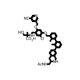 CC(=O)NCC1Cc2ccc(-c3cccc(-c4cccc(COc5cc(OCc6cncc(C#N)c6)c(CNC(C)(CO)C(=O)O)cc5Cl)c4C)c3C)cc2CN1